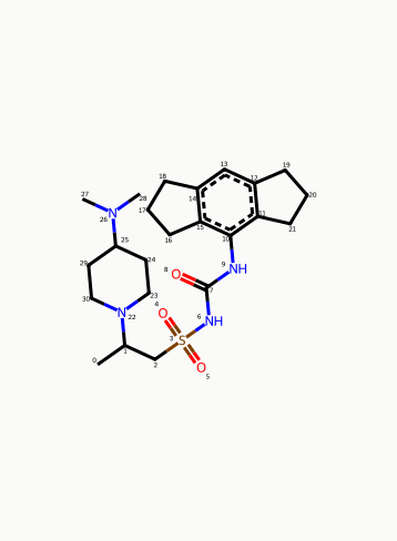 CC(CS(=O)(=O)NC(=O)Nc1c2c(cc3c1CCC3)CCC2)N1CCC(N(C)C)CC1